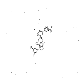 O=C1N2C(CCC2c2cc(F)cc(F)c2)OC12CCN(c1cc(-c3cnn(C(F)F)c3)ncn1)CC2